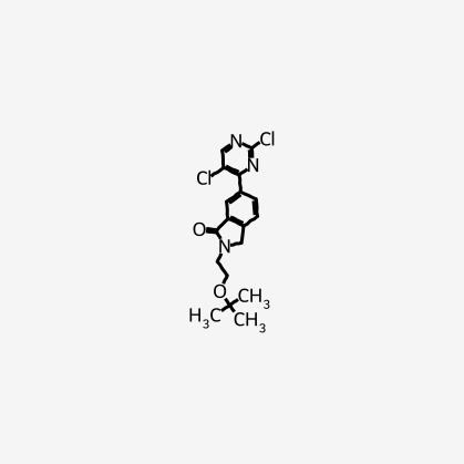 CC(C)(C)OCCN1Cc2ccc(-c3nc(Cl)ncc3Cl)cc2C1=O